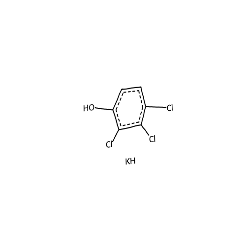 Oc1ccc(Cl)c(Cl)c1Cl.[KH]